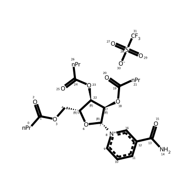 CCCC(=O)OC[C@H]1O[C@@H]([n+]2cccc(C(N)=O)c2)[C@H](OC(=O)CCC)[C@@H]1OC(=O)CCC.O=S(=O)([O-])C(F)(F)F